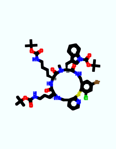 CN1C(=O)[C@H](CCCCNC(=O)OC(C)(C)C)NC(=O)/C(=C\CCNC(=O)OC(C)(C)C)NCc2cccnc2Sc2c(Cl)cc(Br)cc2CNC(=O)[C@@H]1Cc1cn(C(=O)OC(C)(C)C)c2ccccc12